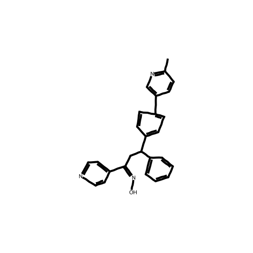 Cc1ccc(-c2ccc(C(C/C(=N/O)c3ccncc3)c3ccccc3)cc2)cn1